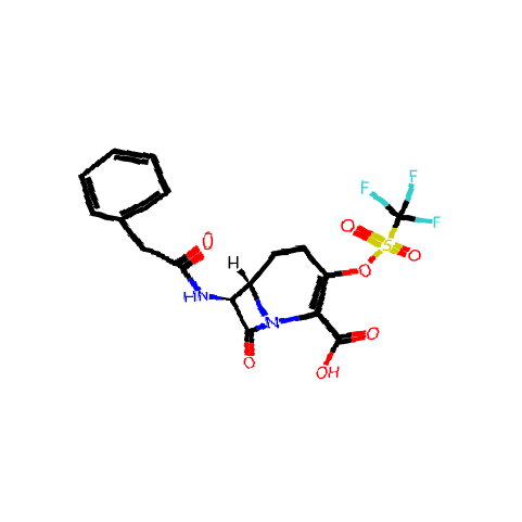 O=C(Cc1ccccc1)N[C@@H]1C(=O)N2C(C(=O)O)=C(OS(=O)(=O)C(F)(F)F)CC[C@@H]12